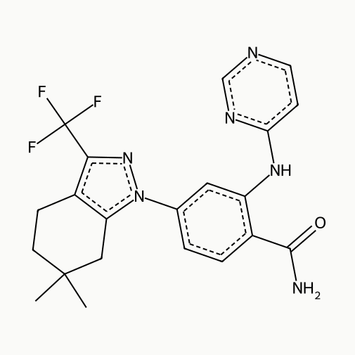 CC1(C)CCc2c(C(F)(F)F)nn(-c3ccc(C(N)=O)c(Nc4ccncn4)c3)c2C1